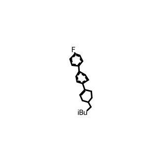 CCC(C)CC1CC=C(c2ccc(-c3ccc(F)cc3)cc2)CC1